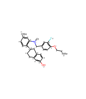 CCN(Cc1ccc(OCCNC)c(F)c1)c1cc(OC)ccc1[C@@H]1CCc2cc(O)ccc2C1